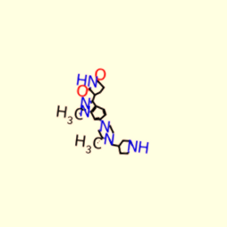 C[C@@H]1CN(c2ccc3c(C4CCC(=O)NC4=O)nn(C)c3c2)CCN1CC1CCNCC1